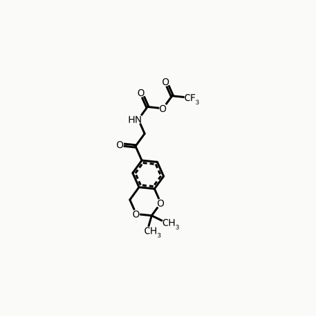 CC1(C)OCc2cc(C(=O)CNC(=O)OC(=O)C(F)(F)F)ccc2O1